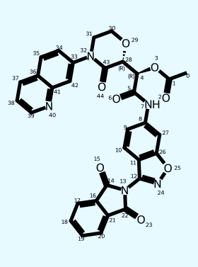 CC(=O)O[C@@H](C(=O)Nc1ccc2c(N3C(=O)c4ccccc4C3=O)noc2c1)[C@H]1OCCN(c2ccc3cccnc3c2)C1=O